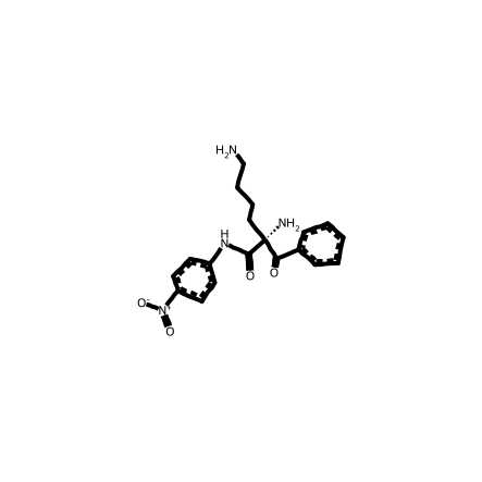 NCCCC[C@](N)(C(=O)Nc1ccc([N+](=O)[O-])cc1)C(=O)c1ccccc1